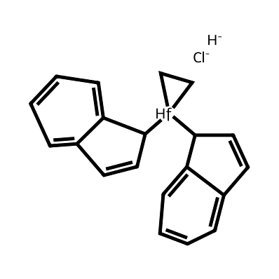 C1=C[CH]([Hf]2([CH]3C=Cc4ccccc43)[CH2][CH2]2)c2ccccc21.[Cl-].[H-]